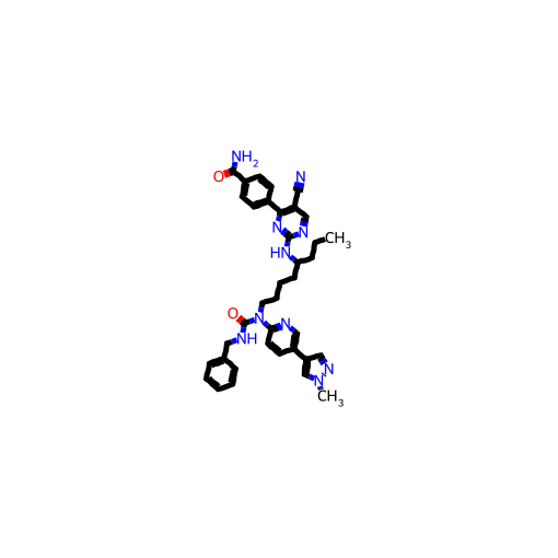 CCCC(CCCCN(C(=O)NCc1ccccc1)c1ccc(-c2cnn(C)c2)cn1)Nc1ncc(C#N)c(-c2ccc(C(N)=O)cc2)n1